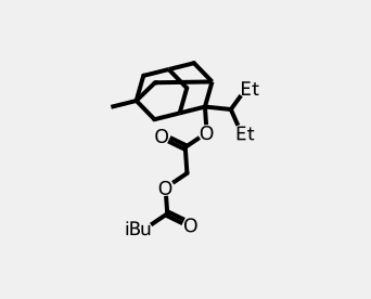 CCC(C)C(=O)OCC(=O)OC1(C(CC)CC)C2CC3CC1CC(C)(C3)C2